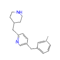 Cc1cccc(Cc2ccc(CC3CCNCC3)nc2)c1